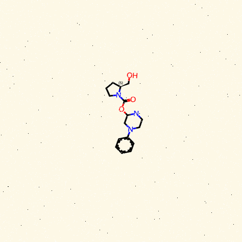 O=C(OC1CN(c2ccccc2)CC[N]1)N1CCC[C@H]1CO